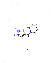 c1n[nH]cc1CN1CCCCC1